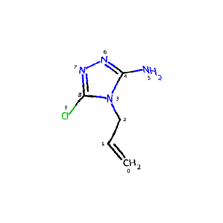 C=CCn1c(N)nnc1Cl